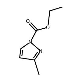 CCOC(=O)n1ccc(C)n1